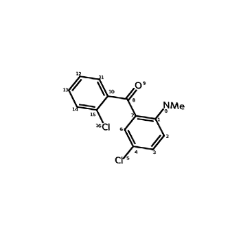 CNc1ccc(Cl)cc1C(=O)c1ccccc1Cl